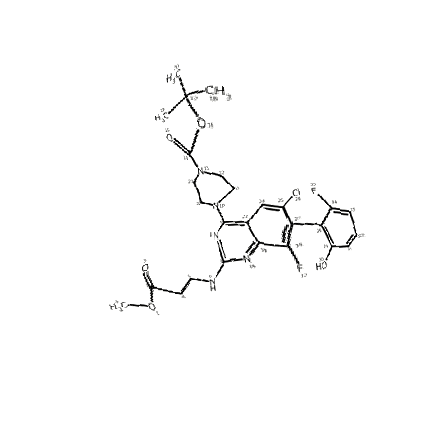 COC(=O)CCNc1nc(N2CCN(C(=O)OC(C)(C)C)CC2)c2cc(Cl)c(-c3c(O)cccc3F)c(F)c2n1